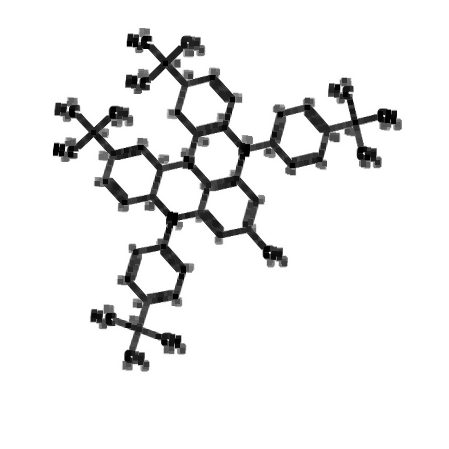 Cc1cc2c3c(c1)N(c1ccc(C(C)(C)C)cc1)C1C=CC(C(C)(C)C)=CC1N3C1=C(C=CC(C(C)(C)C)C1)N2c1ccc(C(C)(C)C)cc1